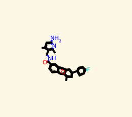 Cc1cc(N)nc(C)c1CNC(=O)c1ccc2c(c1)c1oc2c2c(C)cc(-c3ccc(F)cc3)cc12